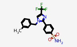 Cc1cccc(Cn2cc(C(F)(F)F)nc2-c2ccc(S(N)(=O)=O)cc2)c1